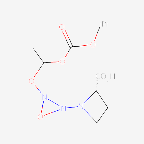 CC(C)OC(=O)OC(C)On1on1N1CC[C@H]1C(=O)O